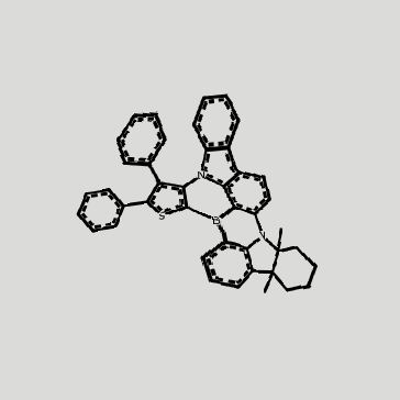 CC12CCCCC1(C)N1c3ccc4c5ccccc5n5c4c3B(c3cccc2c31)c1sc(-c2ccccc2)c(-c2ccccc2)c1-5